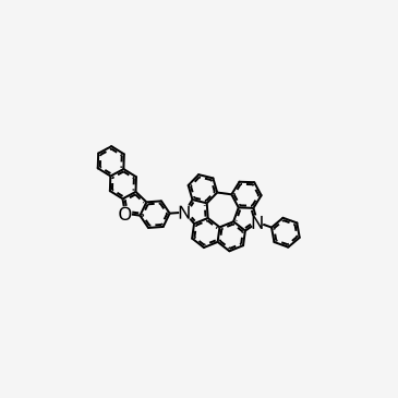 c1ccc(-n2c3cccc4c3c3c5c(ccc32)ccc2c5c3c-4cccc3n2-c2ccc3oc4cc5ccccc5cc4c3c2)cc1